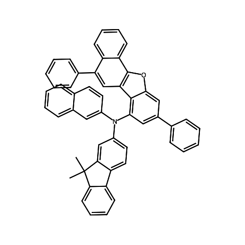 CC1(C)c2ccccc2-c2ccc(N(c3ccc4ccccc4c3)c3cc(-c4ccccc4)cc4oc5c6ccccc6c(-c6ccccc6)cc5c34)cc21